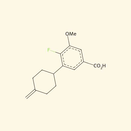 C=C1CCC(c2cc(C(=O)O)cc(OC)c2F)CC1